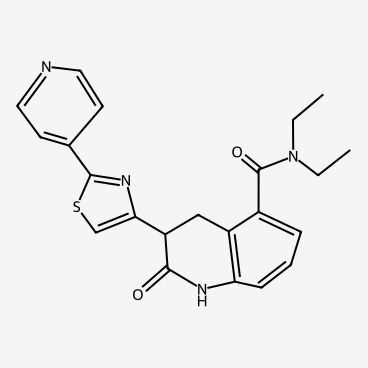 CCN(CC)C(=O)c1cccc2c1CC(c1csc(-c3ccncc3)n1)C(=O)N2